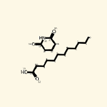 CCCCCCCCCCCC(=O)O.O=C1CCCC(=O)N1